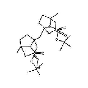 CC(C)(C)OC(=O)N1C2(C)CCC1(CC13CCC(C)(C/C(=N\O)C1)N3C(=O)OC(C)(C)C)CC(=O)C2